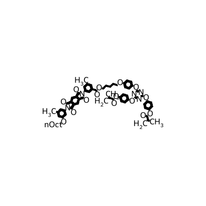 C=C(C)C(=O)Oc1ccc(Oc2nc(Oc3ccc(OCCCCCOC(=O)c4cc(C)cc(-n5c(=O)c6cc7c(=O)n(-c8cc(C)cc(OCCCCCCCC)c8)c(=O)c7cc6c5=O)c4)cc3)nc(Oc3ccc(OC(=O)C(=C)C)cc3)n2)cc1